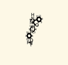 O=C(c1nc[nH]c1-c1ccccc1)N1CCN(c2cccc(OC(F)F)c2)CC1